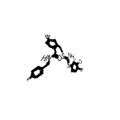 N/C(=N\c1ccc(F)c(Cl)c1)SCc1cc(Br)ccc1C(=O)NCc1ccc(F)cc1